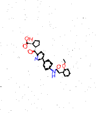 CCOc1ccccc1CC(=O)Nc1ccc(-c2ccc(C(=O)[C@H]3CCC[C@@H]3C(=O)O)nc2)cc1